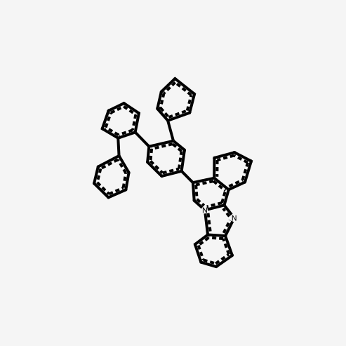 c1ccc(-c2ccccc2-c2ccc(-c3cn4c5ccccc5nc4c4ccccc34)cc2-c2ccccc2)cc1